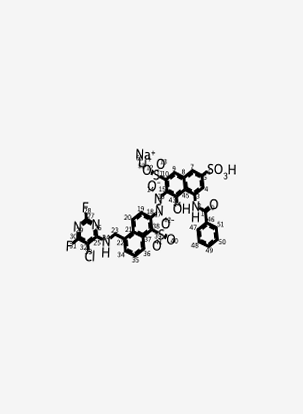 O=C(Nc1cc(S(=O)(=O)O)cc2cc(S(=O)(=O)[O-])c(N=Nc3ccc4c(CNc5nc(F)nc(F)c5Cl)cccc4c3S(=O)(=O)[O-])c(O)c12)c1ccccc1.[Li+].[Na+]